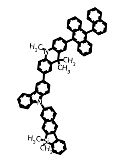 CN1c2ccc(-c3ccc4c(c3)c3ccccc3n4-c3ccc4cc5c(cc4c3)[Si](C)(C)c3ccccc3-5)cc2C(C)(C)c2cc(-c3c4ccccc4c(-c4cccc5ccccc45)c4ccccc34)ccc21